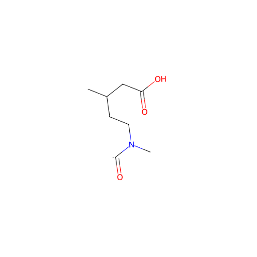 CC(CCN(C)[C]=O)CC(=O)O